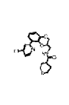 O=C(NCC1COc2cccc(-c3cc(Cl)ccn3)c2O1)C1CCOCC1